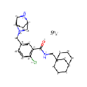 O=C(NCC12CCCC(CCC1)C2)c1cc(CN2CC3CC2CN3)ccc1Cl.[CH2]